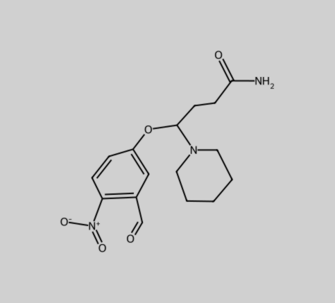 NC(=O)CCC(Oc1ccc([N+](=O)[O-])c(C=O)c1)N1CCCCC1